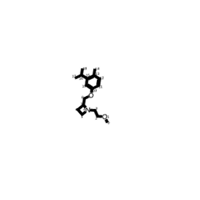 COCCN1CCC1COc1ccc(C)c(C(C)C)c1